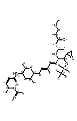 COCNC(=O)C[C@@H]1C[C@@]2(CO2)C(O[Si](C)(C)C(C)(C)C)[C@@H](/C=C/C(C)=C/C[C@@H]2O[C@H](C)[C@H](NC(=O)/C=C\[C@H](C)OC(C)=O)C[C@@H]2C)O1